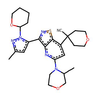 Cc1cc(-c2nsc3c(C4(C#N)CCOCC4)cc(N4CCOCC4C)nc23)n(C2CCCCO2)n1